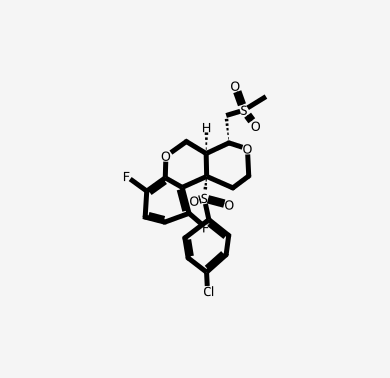 CS(=O)(=O)C[C@@H]1OCC[C@@]2(S(=O)(=O)c3ccc(Cl)cc3)c3c(F)ccc(F)c3OC[C@@H]12